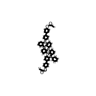 CC1OC1Oc1ccc(-c2ccc(B3c4ccccc4N4c5cccc6c5B(c5cccc3c54)c3cccc4c3N6c3ccc(-c5ccc(OC6OC6C)cc5)cc3B4c3ccccc3)cc2)cc1